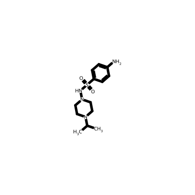 CC(C)N1CCN(NS(=O)(=O)c2ccc(N)cc2)CC1